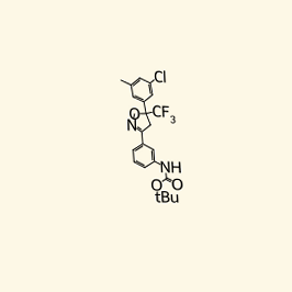 Cc1cc(Cl)cc(C2(C(F)(F)F)CC(c3cccc(NC(=O)OC(C)(C)C)c3)=NO2)c1